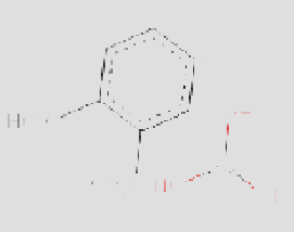 O=C(O)c1ccccc1C(=O)O.O[As](O)O